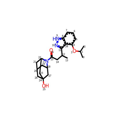 CC(C)Oc1cccc2[nH]nc(C(C)CC(=O)N3C4CC5CC3CC(O)(C5)C4)c12